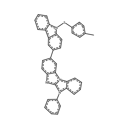 Cc1ccc(Sn2c3ccccc3c3cc(-c4ccc5nc6n(-c7ccccc7)c7ccccc7n6c5c4)ccc32)cc1